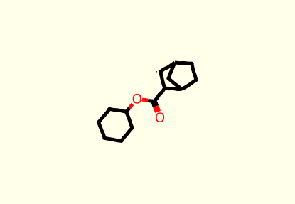 O=C(OC1CCCCC1)C1[CH]C2CCC1C2